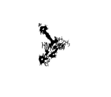 CS(=O)(=O)NCc1cccc(-n2c(CCNc3ncnc(N)c3C#Cc3ccc(F)cn3)nc3cccc(Cl)c3c2=O)c1